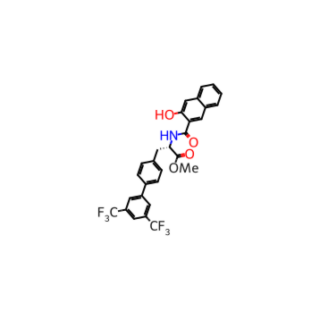 COC(=O)[C@H](Cc1ccc(-c2cc(C(F)(F)F)cc(C(F)(F)F)c2)cc1)NC(=O)c1cc2ccccc2cc1O